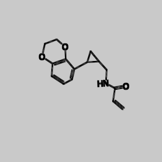 C=CC(=O)NCC1CC1c1cccc2c1OCCO2